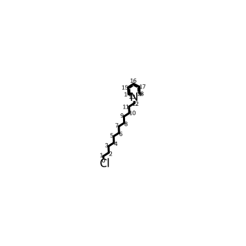 ClCCCCCCCCCCCC[n+]1ccccc1